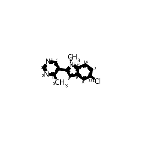 Cc1ncncc1-c1cc2cc(Cl)ccc2n1C